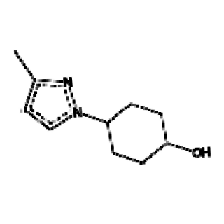 Cc1[c]cn(C2CCC(O)CC2)n1